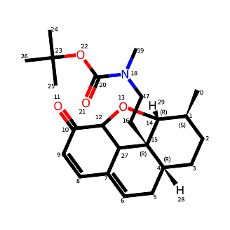 C[C@H]1CC[C@@H]2CC=C3C=CC(=O)C4O[C@H]1[C@@]2(CCN(C)C(=O)OC(C)(C)C)C34